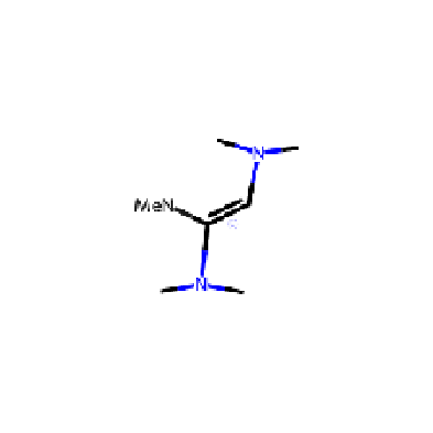 CN/C(=C\N(C)C)N(C)C